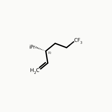 C=C[C@@H](CCC(F)(F)F)C(C)C